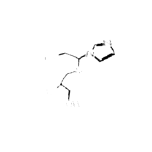 CCC(NCC(C)CO)n1ccnc1